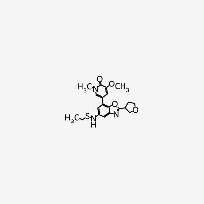 CCSNc1cc(-c2cc(OC)c(=O)n(C)c2)c2oc(C3CCOC3)nc2c1